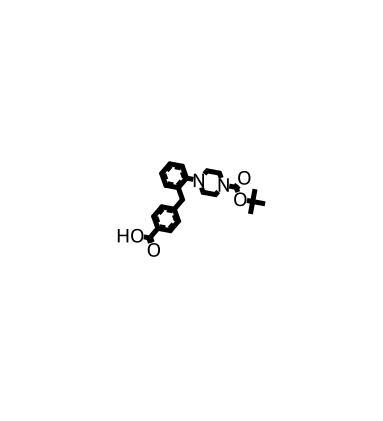 CC(C)(C)OC(=O)N1CCN(c2ccccc2Cc2ccc(C(=O)O)cc2)CC1